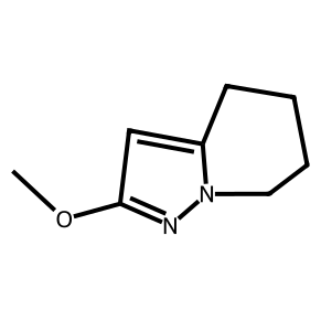 COc1cc2n(n1)CCCC2